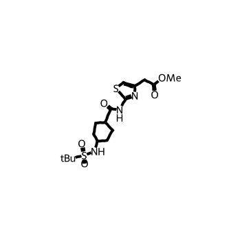 COC(=O)Cc1csc(NC(=O)C2CCC(NS(=O)(=O)C(C)(C)C)CC2)n1